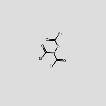 CCC(=O)ON(C(=O)CC)C(=O)CC